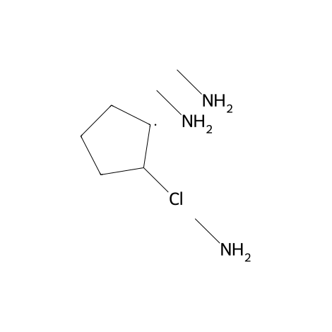 CN.CN.CN.ClC1[CH]CCC1